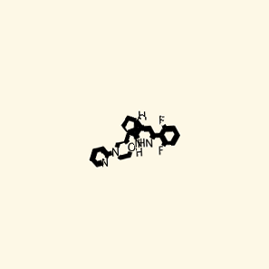 N=C(/C=C1\C(=N)[C@@]2([C@@H]3CN(c4ccccn4)CCO3)CC[C@@H]1C2)c1c(F)cccc1F